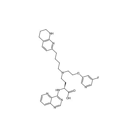 O=C(O)[C@H](CCN(CCCCc1ccc2c(n1)NCCC2)CCOc1cncc(F)c1)Nc1ncnc2cccnc12